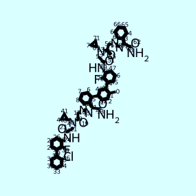 Cc1ccc(-c2cccc3c2c(C(N)=O)nn3CC(=O)N(CC(=O)Nc2cccc(-c3ccccc3Cl)c2F)C2CC2)cc1-c1cccc(NC(=O)CN(C(=O)Cn2nc(C(N)=O)c3ccccc32)C2CC2)c1F